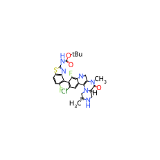 C[C@@H]1CN2c3c(cnc4c(F)c(-c5c(F)ccc6sc(NC(=O)OC(C)(C)C)nc56)c(Cl)cc34)N(C)C(=O)[C@H]2CN1